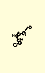 c1cc(N2CCCCC2)c2cc(-c3n[nH]c4cnc(-c5cncc(OCCN6CCCC6)c5)cc34)[nH]c2c1